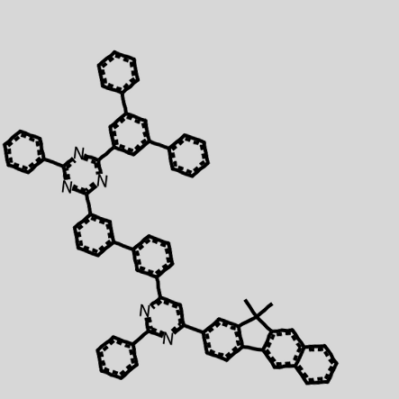 CC1(C)c2cc(-c3cc(-c4cccc(-c5cccc(-c6nc(-c7ccccc7)nc(-c7cc(-c8ccccc8)cc(-c8ccccc8)c7)n6)c5)c4)nc(-c4ccccc4)n3)ccc2-c2cc3ccccc3cc21